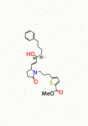 COC(=O)c1ccc(CCCN2C(=O)CCC2C=C[C@@H](O)[C@@H](C)CCCc2ccccc2)s1